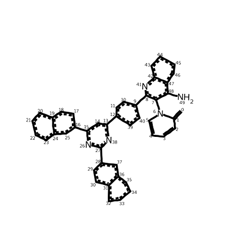 C=C1C=CC=CN1c1c(-c2ccc(-c3cc(-c4ccc5ccccc5c4)nc(-c4ccc5ccccc5c4)n3)cc2)nc2ccccc2c1N